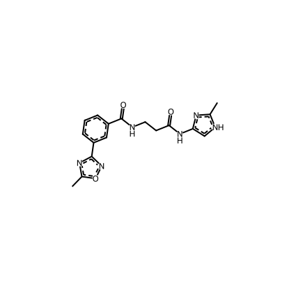 Cc1nc(NC(=O)CCNC(=O)c2cccc(-c3noc(C)n3)c2)c[nH]1